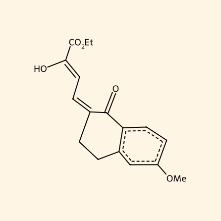 CCOC(=O)C(O)=CC=C1CCc2cc(OC)ccc2C1=O